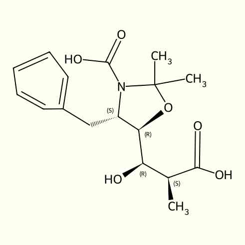 C[C@H](C(=O)O)[C@@H](O)[C@@H]1OC(C)(C)N(C(=O)O)[C@H]1Cc1ccccc1